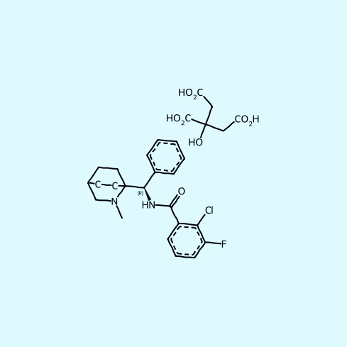 CN1CC2CCC1([C@H](NC(=O)c1cccc(F)c1Cl)c1ccccc1)CC2.O=C(O)CC(O)(CC(=O)O)C(=O)O